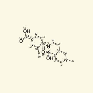 Cc1ccc2c(c1)C=CN(c1ccc(C(=O)O)cc1F)S2(O)O